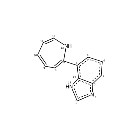 [c]1nc2cccc(C3=CC=CC=CN3)c2[nH]1